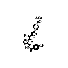 CC(NC(=O)C1CCCN1C(=O)C(c1cc(N2CCN(C(=O)OC(C)(C)C)CC2)no1)C(C)C)c1ccc(C#N)cc1